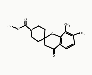 Cc1ccc2c(c1C)OC1(CCN(C(=O)OC(C)(C)C)CC1)CC2=O